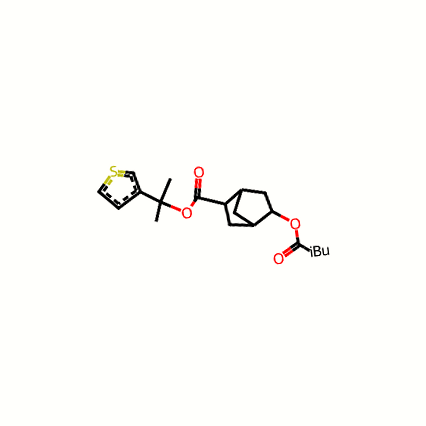 CCC(C)C(=O)OC1CC2CC1CC2C(=O)OC(C)(C)c1ccsc1